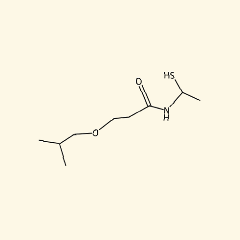 CC(C)COCCC(=O)NC(C)S